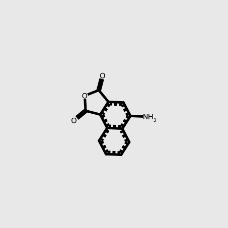 Nc1cc2c(c3ccccc13)C(=O)OC2=O